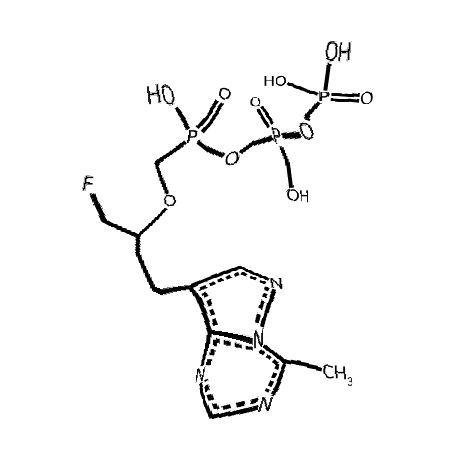 Cc1ncnc2c(CC(CF)OCP(=O)(O)OP(=O)(O)OP(=O)(O)O)cnn12